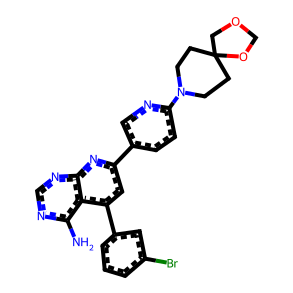 Nc1ncnc2nc(-c3ccc(N4CCC5(CC4)COCO5)nc3)cc(-c3cccc(Br)c3)c12